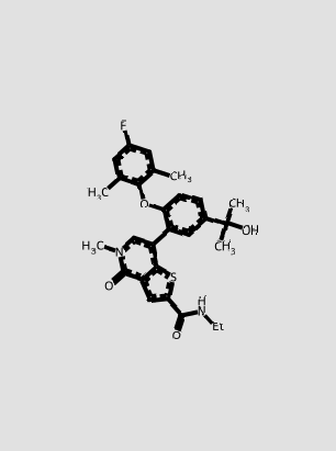 CCNC(=O)c1cc2c(=O)n(C)cc(-c3cc(C(C)(C)O)ccc3Oc3c(C)cc(F)cc3C)c2s1